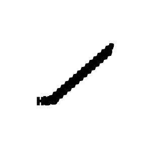 CCCCCCCCCCCCCCCCCCCCCCCCCCCCCCCCO.CCCCCCCCCCCCCCCCCCCCCCCCCCCCO